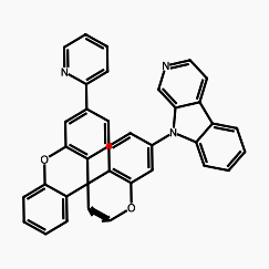 c1ccc(-c2ccc3c(c2)Oc2ccccc2C32c3ccccc3Oc3cc(-n4c5ccccc5c5ccncc54)ccc32)nc1